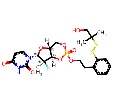 CC(C)(CO)SSc1ccccc1CCOP1(=O)OC[C@H]2O[C@@H](n3ccc(=O)[nH]c3=O)[C@](C)(F)[C@@H]2O1